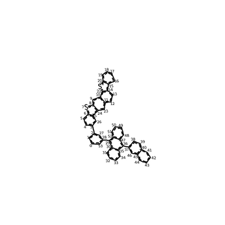 c1cc(-c2ccc3sc4cc5c(ccc6c7ccccc7sc56)cc4c3c2)cc(-c2c3ccccc3c(-c3ccc4ccccc4c3)c3ccccc23)c1